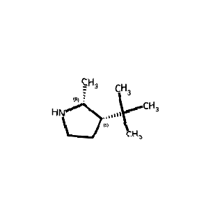 C[C@H]1NCC[C@H]1C(C)(C)C